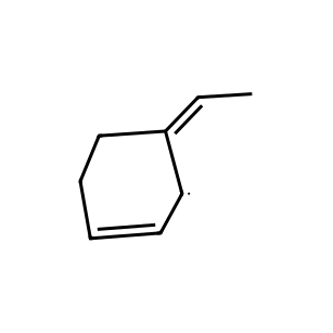 CC=C1[CH]C=CCC1